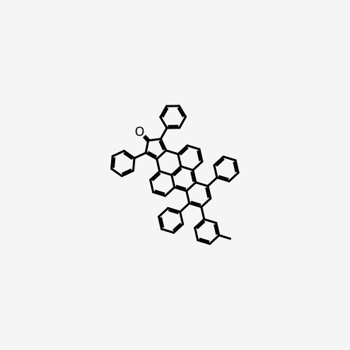 Cc1cccc(-c2cc(-c3ccccc3)c3c4cccc5c6c(-c7ccccc7)c(=O)c(-c7ccccc7)c6c6cccc(c3c2-c2ccccc2)c6c45)c1